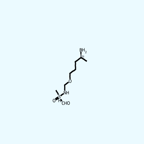 B[C@@H](C)CCCOCN[SH](C)(=O)C=O